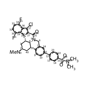 CN[C@H]1CC[C@H](N(Cc2cccc(-c3ccc(S(=O)(=O)N(C)C)cc3)c2)C(=O)c2sc3c(F)ccc(F)c3c2Cl)CC1